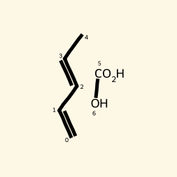 C=CC=CC.O=C(O)O